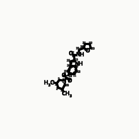 CC1CC(C)CN(S(=O)(=O)c2ccc3[nH]c(C(=O)NCC4CCCO4)cc3c2)C1